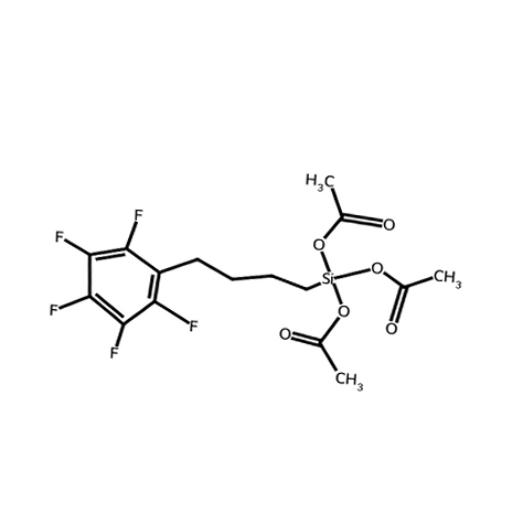 CC(=O)O[Si](CCCCc1c(F)c(F)c(F)c(F)c1F)(OC(C)=O)OC(C)=O